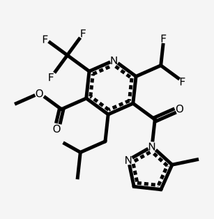 COC(=O)c1c(C(F)(F)F)nc(C(F)F)c(C(=O)n2nccc2C)c1CC(C)C